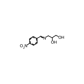 O=[N+]([O-])c1ccc(C=NCC(O)CO)cc1